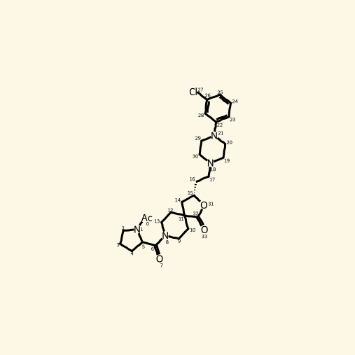 CC(=O)N1CCCC1C(=O)N1CCC2(CC1)C[C@H](CCN1CCN(c3cccc(Cl)c3)CC1)OC2=O